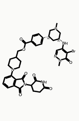 CN1C[C@H](Nc2cnn(C)c(=O)c2Br)C[C@H](c2ccc(C(=O)OCC3CCN(c4cccc5c4C(=O)N(C4CCC(=O)NC4=O)C5=O)CC3)cc2)C1